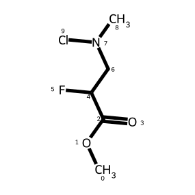 COC(=O)C(F)CN(C)Cl